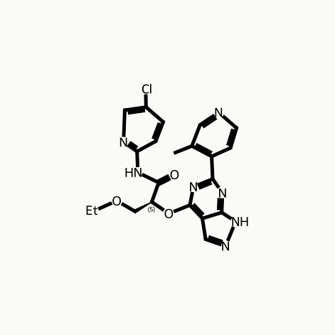 CCOC[C@H](Oc1nc(-c2ccncc2C)nc2[nH]ncc12)C(=O)Nc1ccc(Cl)cn1